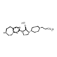 Cl.O=C(O)CC[C@H]1CC[C@H](N2CCN(c3ncc4c(n3)CCNCC4)C2=O)CC1